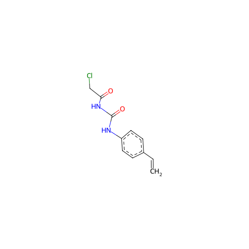 C=Cc1ccc(NC(=O)NC(=O)CCl)cc1